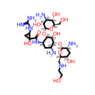 N=C(N)NC1CC1(O)C(=O)N[C@@H]1C[C@H](N)[C@@H](O[C@H]2O[C@H](CNCCO)[C@@H](O)C[C@H]2N)[C@H](O)[C@H]1O[C@H]1O[C@H](CO)[C@@H](O)[C@H](N)[C@H]1O